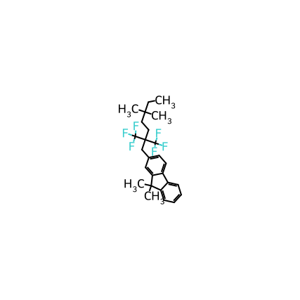 CCC(C)(C)CCC(Cc1ccc2c(c1)C(C)(C)c1ccccc1-2)(C(F)(F)F)C(F)(F)F